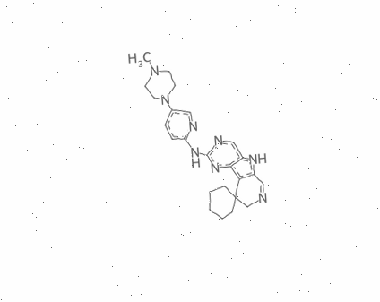 CN1CCN(c2ccc(Nc3ncc4[nH]c5c(c4n3)C3(CCCCC3)CN=C5)nc2)CC1